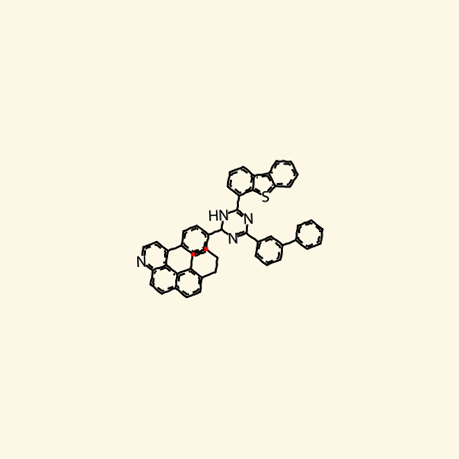 C1=Cc2c(ccc3ccc4nccc(-c5ccc(C6N=C(c7cccc(-c8ccccc8)c7)N=C(c7cccc8c7sc7ccccc78)N6)cc5)c4c23)CC1